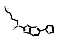 CCCCC[S+]([O-])c1nc2ccc(-c3cccs3)nc2s1